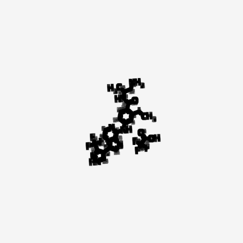 CCc1cc(Nc2nccn3c(-c4c[nH]nc4C(F)(F)F)cnc23)ccc1C(=O)NC(C)CN.O=C(O)C(F)(F)F